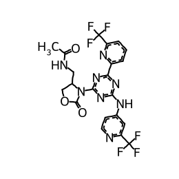 CC(=O)NCC1COC(=O)N1c1nc(Nc2ccnc(C(F)(F)F)c2)nc(-c2cccc(C(F)(F)F)n2)n1